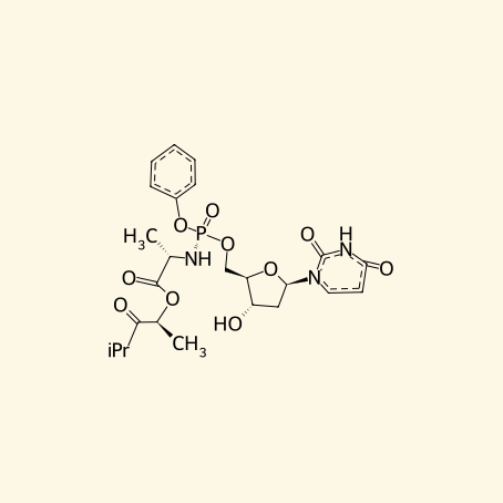 CC(C)C(=O)[C@H](C)OC(=O)[C@H](C)N[P@](=O)(OC[C@H]1O[C@@H](n2ccc(=O)[nH]c2=O)C[C@@H]1O)Oc1ccccc1